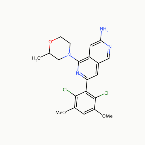 COc1cc(OC)c(Cl)c(-c2cc3cnc(N)cc3c(N3CCOC(C)C3)n2)c1Cl